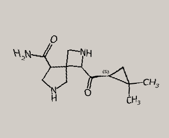 CC1(C)C[C@@H]1C(=O)C1NCC12CNCC2C(N)=O